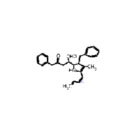 C=C/C=C\C1=C(C)C(Cc2ccccc2)C(C(C=O)CC(=O)Cc2ccccc2)N1